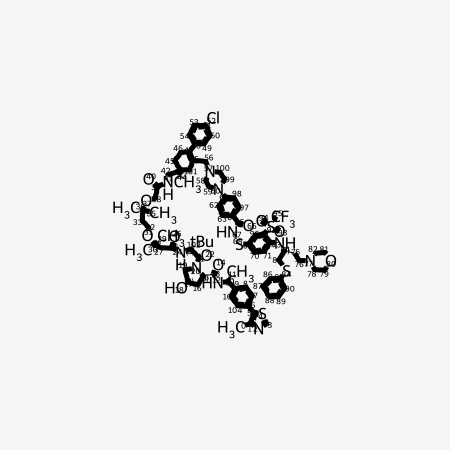 Cc1ncsc1-c1ccc([C@H](C)NC(=O)[C@@H]2C[C@@H](O)CN2C(=O)[C@@H](NC(=O)CC(C)(C)OCCC(C)(C)OCC(=O)NCC2(C)CCC(c3ccc(Cl)cc3)=C(CN3CCN(c4ccc(C(=O)NSc5ccc(N[C@H](CCN6CCOCC6)CSc6ccccc6)c(S(=O)(=O)C(F)(F)F)c5)cc4)CC3)C2)C(C)(C)C)cc1